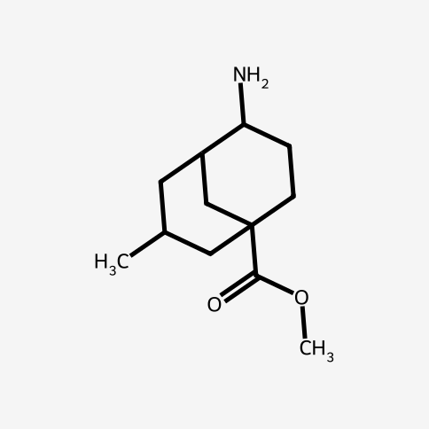 COC(=O)C12CCC(N)C(CC(C)C1)C2